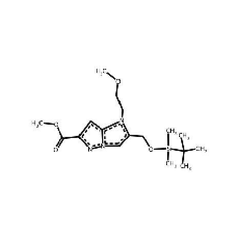 COCCn1c(CO[Si](C)(C)C(C)(C)C)cn2nc(C(=O)OC)cc12